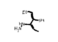 C/C=C(NN)\C(S)=C/CC